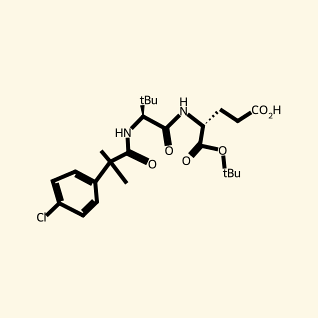 CC(C)(C)OC(=O)[C@@H](CCC(=O)O)NC(=O)[C@@H](NC(=O)C(C)(C)c1ccc(Cl)cc1)C(C)(C)C